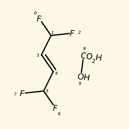 FC(F)C=CC(F)F.O=C(O)O